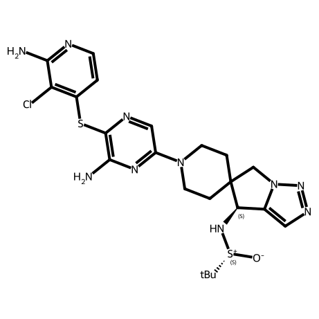 CC(C)(C)[S@@+]([O-])N[C@@H]1c2cnnn2CC12CCN(c1cnc(Sc3ccnc(N)c3Cl)c(N)n1)CC2